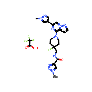 Cn1cc(-c2cn3nccc3c(N3CCC(F)(CNC(=O)c4cn(C(C)(C)C)nn4)CC3)n2)cn1.O=C(O)C(F)(F)F